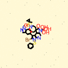 Cn1ncc2cc(-c3c(Br)n(Sc4ccccc4)c4ncc5c(c34)C3(CCCN([S+]([O-])C4(C)CC4)CC3)C(=O)N5C(O)(O)O)ccc21